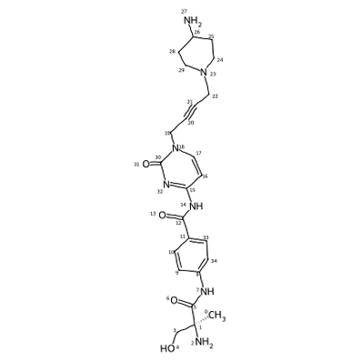 C[C@](N)(CO)C(=O)Nc1ccc(C(=O)Nc2ccn(CC#CCN3CCC(N)CC3)c(=O)n2)cc1